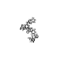 Cn1cnnc1CC1(c2ccc3c(c2)C(=O)N(c2cc(CN4CC5CCCC5C4)cc(C(F)(F)F)n2)C3)COC1